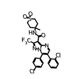 CC1(NC(=O)c2c(C(F)(F)F)nn3c(-c4ccc(Cl)cc4)c(-c4ccccc4Cl)cnc23)CCS(=O)(=O)CC1